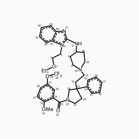 CCOCCn1c(NC2CCN(CCC3(c4ccccc4)CCN(C(=O)c4cc(OC(F)(F)F)ccc4OC)C3)CC2)nc2ccccc21